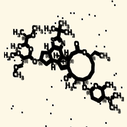 CC[C@H]1CCC[C@H](O[C@H]2CC[C@H](N(C)C)C(C)O2)[C@@H](C)C(=O)C2=C[C@H]3[C@@H]4C[C@H](OC(OC(C)[C@@H](C)OC)[C@H](COC)OC)C[C@H]4c4sc(C(C)(C)C)nc4[C@H]3[C@@H]2CC(=O)O1